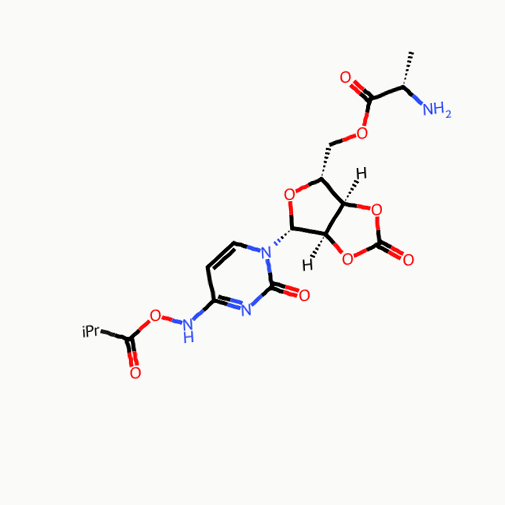 CC(C)C(=O)ONc1ccn([C@@H]2O[C@H](COC(=O)[C@H](C)N)[C@H]3OC(=O)O[C@H]32)c(=O)n1